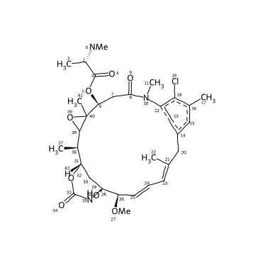 CN[C@@H](C)C(=O)O[C@H]1CC(=O)N(C)c2cc(cc(C)c2Cl)C/C(C)=C/C=C/[C@@H](OC)[C@@]2(O)C[C@H](OC(=O)N2)[C@@H](C)C2OC21C